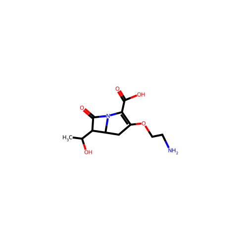 CC(O)C1C(=O)N2C(C(=O)O)=C(OCCN)CC12